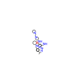 CNc1nc(N(Cc2ccc(C(C)C)cc2)C2CCCCCC2)c(C(=O)NC2CCN(CCN3CCCCC3)CC2)cc1C=N